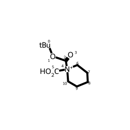 CC(C)(C)OC(=O)[N+]1(C(=O)O)CCCCC1